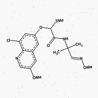 CO/N=C/C(C)(C)NC(=O)C(Oc1cc(Cl)c2ncc(OC)cc2c1)SC